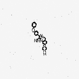 N#Cc1c(-c2ccc(Oc3ccccc3)cc2)nn2c1Nc1cc(N3CCNCC3)ccc1CC2